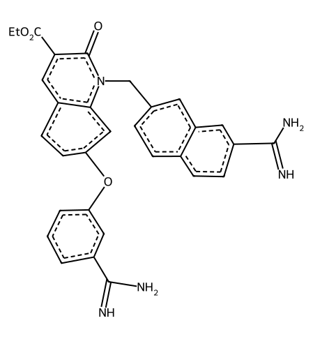 CCOC(=O)c1cc2ccc(Oc3cccc(C(=N)N)c3)cc2n(Cc2ccc3ccc(C(=N)N)cc3c2)c1=O